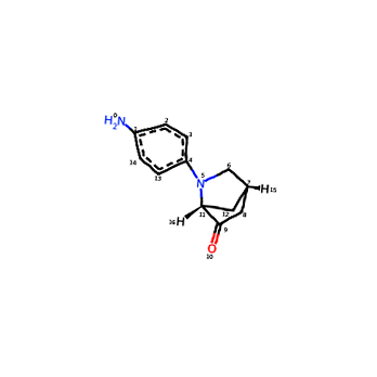 Nc1ccc(N2C[C@@H]3CC(=O)[C@H]2C3)cc1